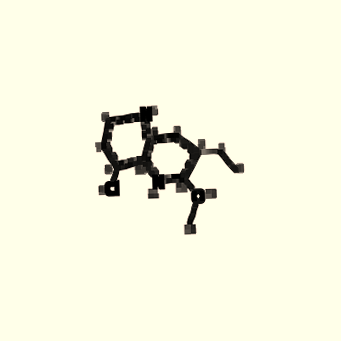 CCc1cc2nccc(Cl)c2nc1OC